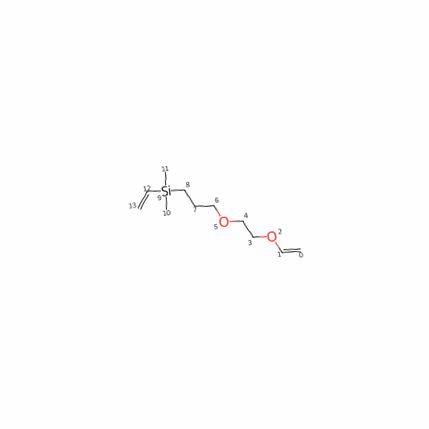 C=COCCOCCC[Si](C)(C)C=C